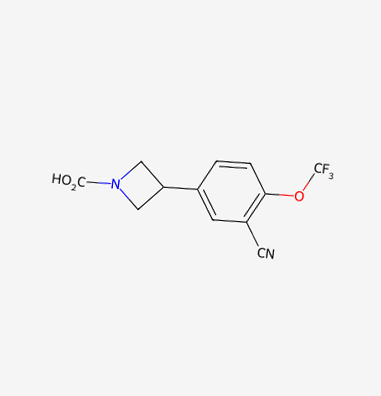 N#Cc1cc(C2CN(C(=O)O)C2)ccc1OC(F)(F)F